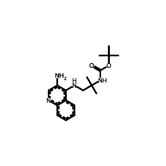 CC(C)(CNc1c(N)cnc2ccccc12)NC(=O)OC(C)(C)C